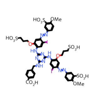 COc1ccc(N=Nc2cc(OCCCS(=O)(=O)O)c(Nc3nc(NCc4ccc(C(=O)O)cc4)nc(Nc4cc(I)c(N=Nc5ccc(OC)c(S(=O)(=O)O)c5)cc4OCCCS(=O)(=O)O)n3)cc2I)cc1S(=O)(=O)O